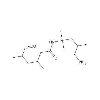 CC(C=O)CC(C)CC(=O)NC(C)(C)CC(C)CN